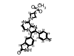 CS(=O)(=O)C1CN(c2nccn3c(-c4ccc5c(c4)CC(=O)N5)c(-c4ccc(F)cc4)nc23)C1